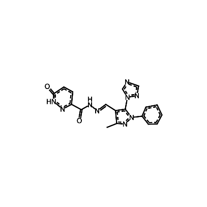 Cc1nn(-c2ccccc2)c(-n2cncn2)c1C=NNC(=O)c1ccc(=O)[nH]n1